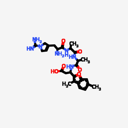 Cc1ccc2c(C)c(C(CC(=O)O)NC(=O)C(C)NC(=O)C(C)NC(=O)C(N)CC3=CCN(C(=N)N)C3)oc2c1